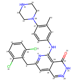 Cc1cc(Nc2nc(Cc3c(Cl)cccc3Cl)cc3cn[nH]c(=O)c23)ccc1N1CCNCC1